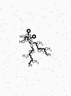 CC(C)CCC[C@@H](C)CCC[C@@H](C)CCC[C@@H](C)CCOC[C@H](CO[C@@H]1O[C@H](CO)[C@@H](O)[C@H](OC(=O)c2ccccc2)[C@H]1OC(=O)c1ccccc1)OCC[C@H](C)CCC[C@H](C)CCC[C@H](C)CCCC(C)C